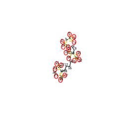 O=S1(=O)CS(=O)(=O)OC(CC2S(=O)(=O)OC(CCCC3S(=O)(=O)OCOS3(=O)=O)OS2(=O)=O)O1